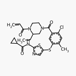 C=CC(=O)N1CCN(C(=O)c2cc(Sc3cnc(NC(=O)C4CC4)s3)c(C)cc2Cl)CC1CC